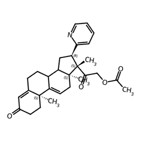 CC(=O)OCC(=O)[C@@]1(C)[C@H](c2ccccn2)CC2C3CCC4=CC(=O)CC[C@]4(C)C3=CC[C@@]21C